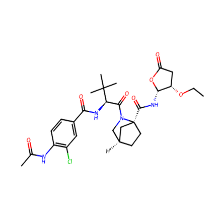 CCO[C@H]1CC(=O)O[C@H]1NC(=O)[C@@]12CC[C@@H](CN1C(=O)[C@@H](NC(=O)c1ccc(NC(C)=O)c(Cl)c1)C(C)(C)C)C2